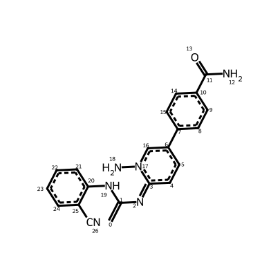 C=C(/N=c1/ccc(-c2ccc(C(N)=O)cc2)cn1N)Nc1ccccc1C#N